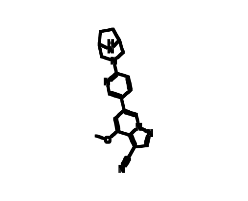 COc1cc(-c2ccc(N3CC4CCC(C3)N4)nc2)cn2ncc(C#N)c12